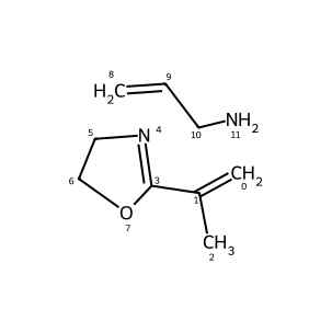 C=C(C)C1=NCCO1.C=CCN